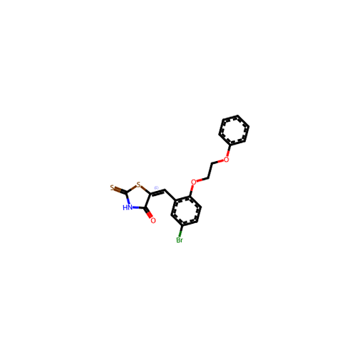 O=C1NC(=S)S/C1=C/c1cc(Br)ccc1OCCOc1ccccc1